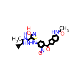 CC(=O)Nc1ccc2c(c1)CC(C(=O)c1ccc(Nc3snc(O)c3C(=N)NC(C)CC3CC3)cc1N=O)C2